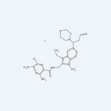 CCn1c(CNC(=O)c2nc(Cl)c(N)nc2N)[n+](C)c2ccc(C(CC=O)N3CCOCC3)cc21.[I-]